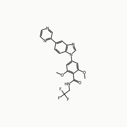 COc1cc(-n2cnc3cc(-c4cnccn4)ccc32)cc(OC)c1C(=O)NCC(F)(F)F